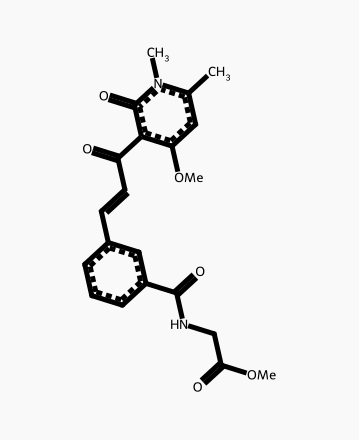 COC(=O)CNC(=O)c1cccc(C=CC(=O)c2c(OC)cc(C)n(C)c2=O)c1